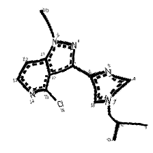 CC(C)n1cnc(-c2nn(C)c3ccnc(Cl)c23)c1